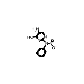 Nc1cnc(N(c2ccccc2)[N+](=O)[O-])nc1O